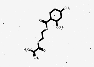 C=C(C)C(=O)OCCOC(=O)C1CCC(C)CC1C(=O)O